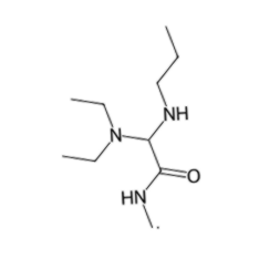 [CH2]NC(=O)C(NCCC)N(CC)CC